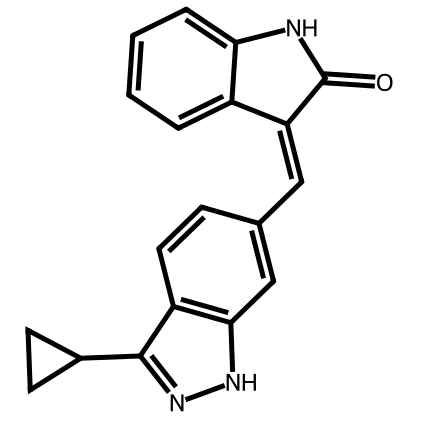 O=C1Nc2ccccc2/C1=C\c1ccc2c(C3CC3)n[nH]c2c1